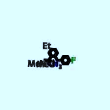 CCc1ccc(/C(=N\OC)c2ccc(F)cc2)c(/C(C)=C/NC)c1